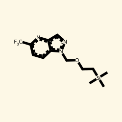 C[Si](C)(C)CCOCn1ncc2nc(C(F)(F)F)ccc21